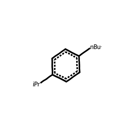 CCC[CH]c1ccc(C(C)C)cc1